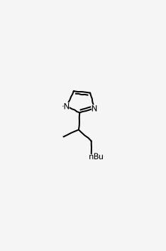 CCCCCC(C)C1=NC=C[N]1